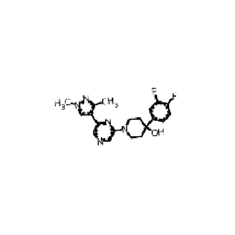 Cc1nn(C)cc1-c1cncc(N2CCC(O)(c3ccc(F)c(F)c3)CC2)n1